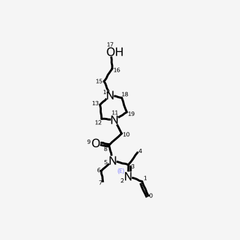 C=C/N=C(\C)N(CC)C(=O)CN1CCN(CCO)CC1